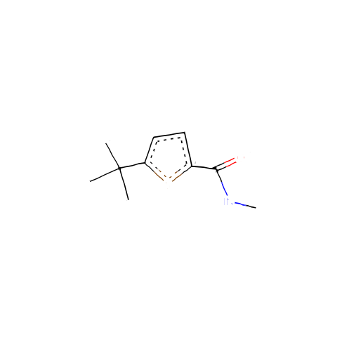 CNC(=O)c1ccc(C(C)(C)C)s1